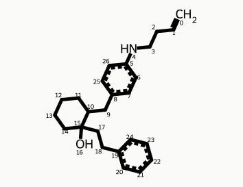 C=CCCNc1ccc(CC2CCCCC2(O)CCc2ccccc2)cc1